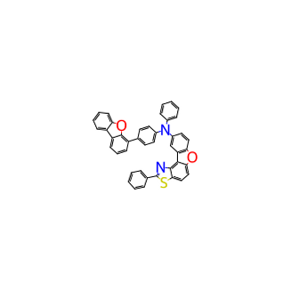 c1ccc(-c2nc3c(ccc4oc5ccc(N(c6ccccc6)c6ccc(-c7cccc8c7oc7ccccc78)cc6)cc5c43)s2)cc1